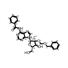 C[C@]1(OCOCc2ccccc2)C(O)[C@@H](CO)O[C@H]1n1cnc2c(NC(=O)c3ccccc3)ncnc21